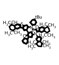 CC(C)(C)c1ccc(N2B3c4oc5cc6c(cc5c4N(c4ccc5c(c4)C(C)(C)CCC5(C)C)c4cc5c(oc7ccccc75)c(c43)-c3cc4c(cc32)sc2cc3c(cc24)C(C)(C)CCC3(C)C)C(C)(C)CCC6(C)C)cc1